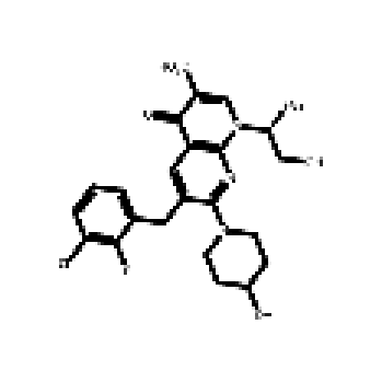 CC(C)(C)[C@@H](CO)n1cc(C(=O)O)c(=O)c2cc(Cc3cccc(Cl)c3F)c(N3CCC(O)CC3)nc21